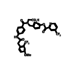 COc1ccc(CC(=O)Nc2ccc(C(=O)N(CC(=O)O)Cc3ccc(OC(=O)c4cc(C(F)(F)F)ccn4)cc3)cc2)c(C(F)(F)F)c1